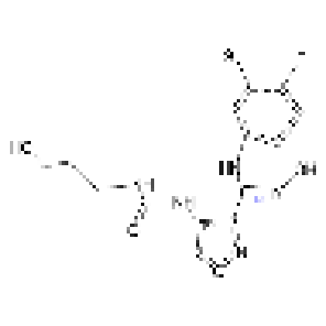 O=C(NCCCO)Nc1conc1/C(=N/O)Nc1ccc(F)c(Br)c1